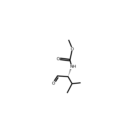 COC(=O)N[C@@H](C=O)C(C)C